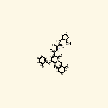 O=C(NC1CCCC1O)/C(O)=C/C(=O)c1cc(Cc2ccccc2F)cn(Cc2c(F)cccc2F)c1=O